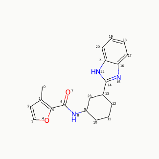 Cc1ccoc1C(=O)NC1CCCC(c2nc3ccccc3[nH]2)C1